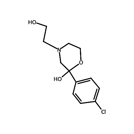 OCCN1CCOC(O)(c2ccc(Cl)cc2)C1